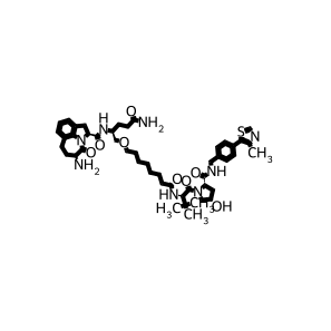 Cc1ncsc1-c1ccc(CNC(=O)[C@@H]2C[C@@H](O)CN2C(=O)[C@@H](NC(=O)CCCCCCCOC[C@H](CCC(N)=O)NC(=O)[C@@H]2Cc3cccc4c3N2C(=O)[C@@H](N)CC4)C(C)(C)C)cc1